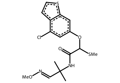 CON=CC(C)(C)NC(=O)C(Oc1cc(Cl)c2ccsc2c1)SC